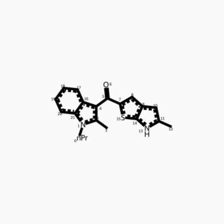 CCCn1c(C)c(C(=O)c2cc3cc(C)[nH]c3s2)c2ccccc21